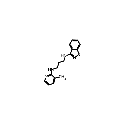 Cc1cccnc1NCCCNc1nsc2ccccc12